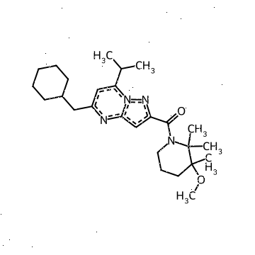 COC1(C)CCCN(C(=O)c2cc3nc(CC4CCCCC4)cc(C(C)C)n3n2)C1(C)C